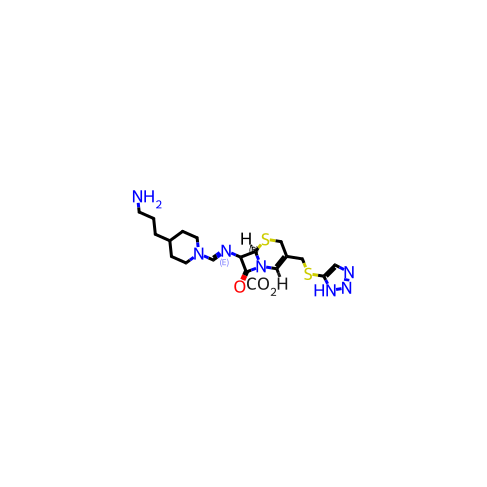 NCCCC1CCN(/C=N/C2C(=O)N3C(C(=O)O)=C(CSc4cnn[nH]4)CS[C@H]23)CC1